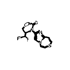 O=C1OCC(C(F)F)N1c1cn2c(n1)C=CSC=C2